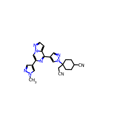 Cn1cc(-c2cn3nccc3c(-c3cnn(C4(CC#N)CCC(C#N)CC4)c3)n2)cn1